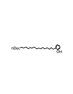 CCCCCCCCCCCCCCCCCCCCCCCCCCc1ccccc1O